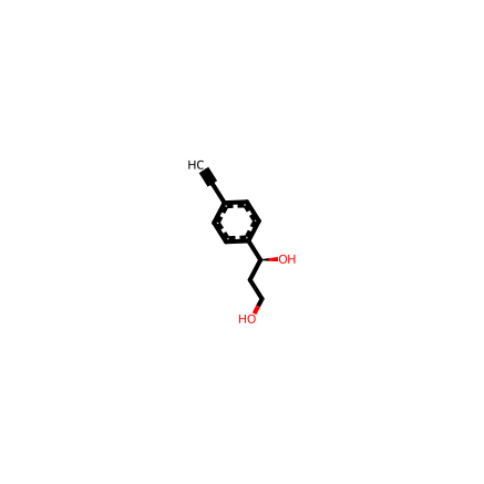 C#Cc1ccc([C@@H](O)CCO)cc1